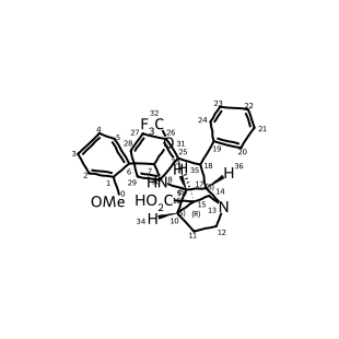 COc1ccccc1C(N[C@H]1[C@H]2CCN(C[C@@H]2C(=O)O)[C@H]1C(c1ccccc1)c1ccccc1)OC(F)(F)F